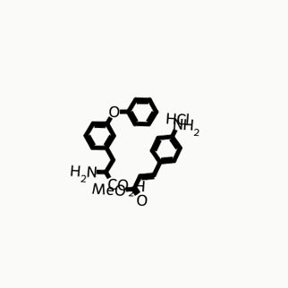 COC(=O)C=Cc1ccc(N)cc1.Cl.NC(Cc1cccc(Oc2ccccc2)c1)C(=O)O